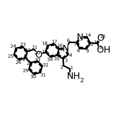 NCCc1cn(Cc2ccc(C(=O)O)cn2)c2ccc(OCc3ccccc3-c3ccccc3)cc12